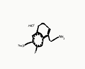 COc1cc2c(cc1F)C(CN)=CCC2.Cl